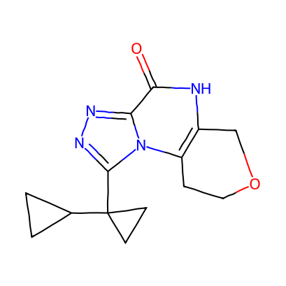 O=c1[nH]c2c(n3c(C4(C5CC5)CC4)nnc13)CCOC2